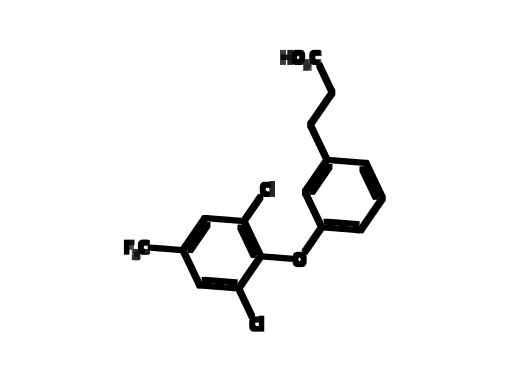 O=C(O)CCc1cccc(Oc2c(Cl)cc(C(F)(F)F)cc2Cl)c1